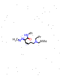 C=N/N=C(\C=C/CCN(CNC)CC(C)C)C(=O)NC(C)C